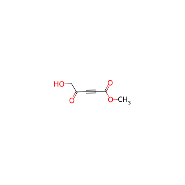 COC(=O)C#CC(=O)CO